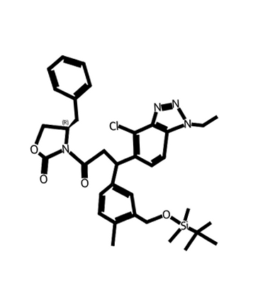 CCn1nnc2c(Cl)c(C(CC(=O)N3C(=O)OC[C@H]3Cc3ccccc3)c3ccc(C)c(CO[Si](C)(C)C(C)(C)C)c3)ccc21